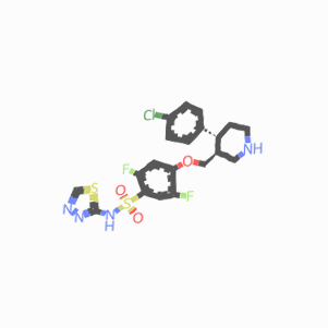 O=S(=O)(Nc1nncs1)c1cc(F)c(OC[C@@H]2CNCC[C@H]2c2ccc(Cl)cc2)cc1F